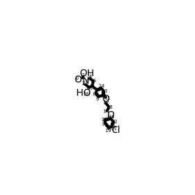 O=C(O)N1CCC(c2ccc(OCCCOc3cccc(Cl)c3)cc2)C(O)C1